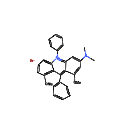 COc1cccc2c1c(-c1ccccc1)c1c(OC)cc(N(C)C)cc1[n+]2-c1ccccc1.[Br-]